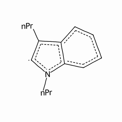 CCCc1[c]n(CCC)c2ccccc12